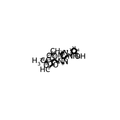 C#CC1OC(n2cnc3c(N[C@H]4CCC[C@@H]4O)ncnc32)C(OC(C)=O)C1OC(C)=O